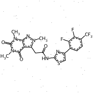 Cn1nc2c(c1CC(=O)Nc1nc(-c3ccc(C(F)(F)F)c(F)c3F)cs1)c(=O)n(C)c(=O)n2C